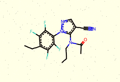 CCCN(C(C)=O)c1c(C#N)cnn1-c1c(F)c(F)c(CC)c(F)c1F